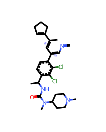 C=N/C=C(\C=C(/C)C1=CCCC1)c1ccc(C(C)NC(=O)N(C)C2CCN(C)CC2)c(Cl)c1Cl